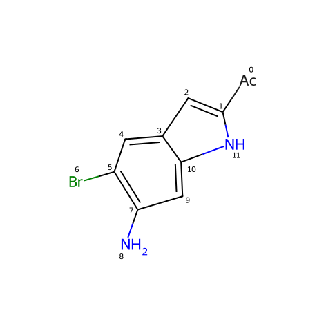 CC(=O)c1cc2cc(Br)c(N)cc2[nH]1